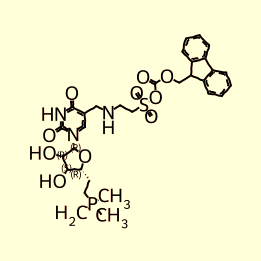 C=P(C)(C)CC[C@H]1O[C@@H](n2cc(CNCCS(=O)(=O)OC(=O)OCC3c4ccccc4-c4ccccc43)c(=O)[nH]c2=O)[C@H](O)[C@@H]1O